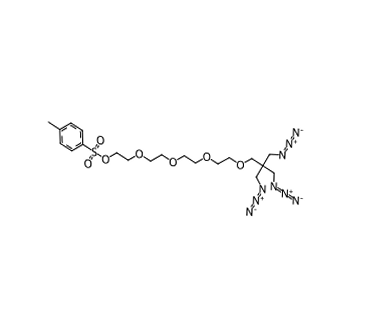 Cc1ccc(S(=O)(=O)OCCOCCOCCOCCOCC(CN=[N+]=[N-])(CN=[N+]=[N-])CN=[N+]=[N-])cc1